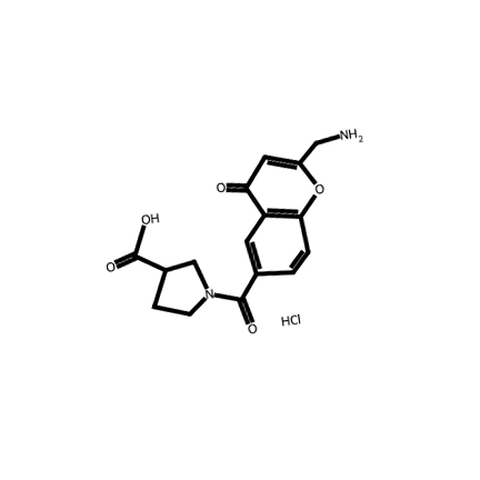 Cl.NCc1cc(=O)c2cc(C(=O)N3CCC(C(=O)O)C3)ccc2o1